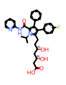 CC(C)n1c(CC[C@@H](O)C[C@@H](O)CC(=O)O)c(-c2ccc(F)cc2)c(-c2ccccc2)c1C(=O)Nc1ccccn1